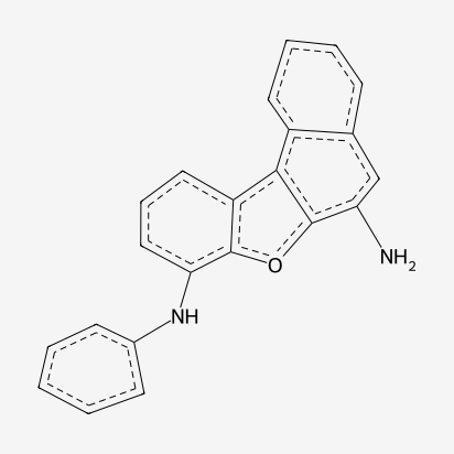 Nc1cc2ccccc2c2c1oc1c(Nc3ccccc3)cccc12